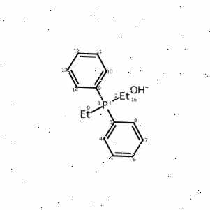 CC[P+](CC)(c1ccccc1)c1ccccc1.[OH-]